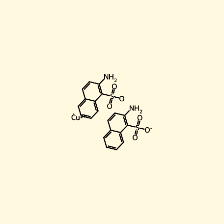 Nc1ccc2ccccc2c1S(=O)(=O)[O-].Nc1ccc2ccccc2c1S(=O)(=O)[O-].[Cu+2]